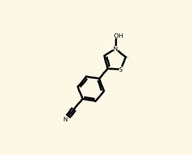 N#Cc1ccc(C2=CN(O)[CH]S2)cc1